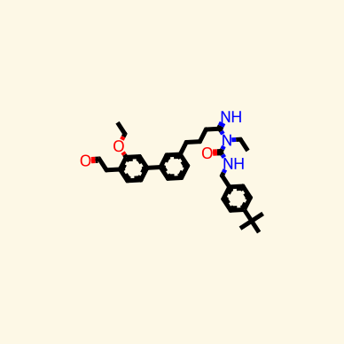 CCOc1cc(-c2cccc(CCCC(=N)N(CC)C(=O)NCc3ccc(C(C)(C)C)cc3)c2)ccc1CC=O